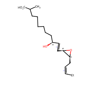 CC/C=C\C[C@@H]1O[C@@H]1/C=C/[C@@H](O)CCCCCCC(C)C(=O)O